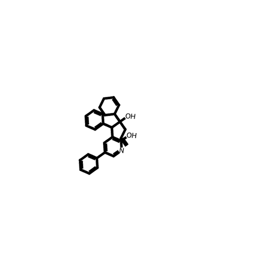 C=CCC(O)(C1C=CCCC1)C(c1ccccc1)c1cc(-c2ccccc2)cnc1O